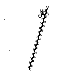 CCCCCC=CC=CC=CC=CCCCCCCCCCCCCC(CCC)C(N)=O